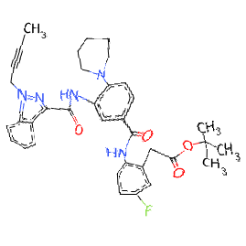 CC#CCn1nc(C(=O)Nc2cc(C(=O)Nc3ccc(F)cc3CC(=O)OC(C)(C)C)ccc2N2CCCCC2)c2ccccc21